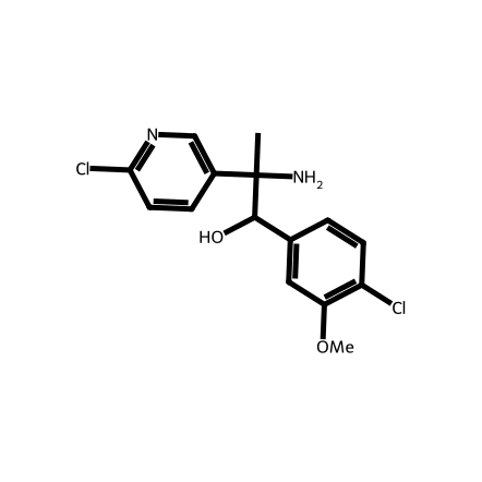 COc1cc(C(O)C(C)(N)c2ccc(Cl)nc2)ccc1Cl